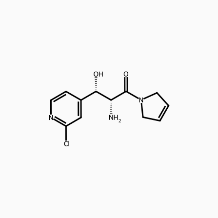 N[C@@H](C(=O)N1CC=CC1)[C@@H](O)c1ccnc(Cl)c1